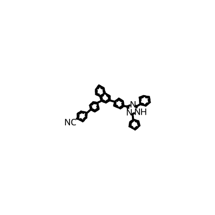 N#Cc1ccc(-c2ccc(-c3cc(-c4ccc(C5=NC(c6ccccc6)NC(c6ccccc6)=N5)cc4)cc4ccccc34)cc2)cc1